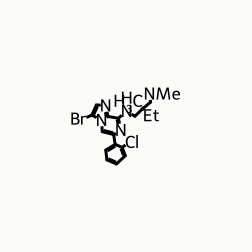 CCC(C)(CNC)CNc1nc(-c2ccccc2Cl)cn2c(Br)cnc12